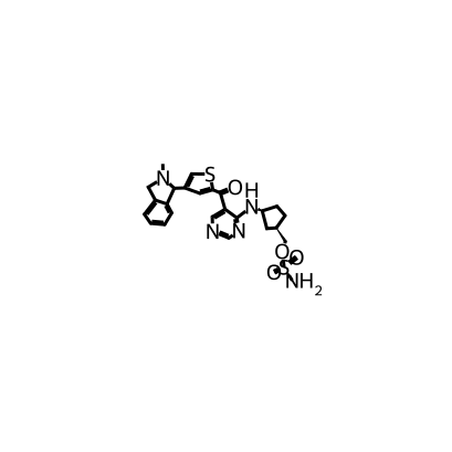 CN1Cc2ccccc2C1c1csc(C(=O)c2cncnc2N[C@H]2CC[C@@H](COS(N)(=O)=O)C2)c1